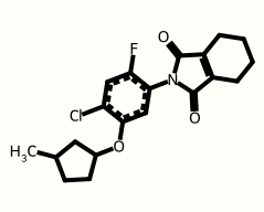 CC1CCC(Oc2cc(N3C(=O)C4=C(CCCC4)C3=O)c(F)cc2Cl)C1